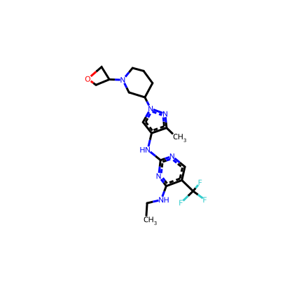 CCNc1nc(Nc2cn(C3CCCN(C4COC4)C3)nc2C)ncc1C(F)(F)F